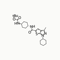 Cc1nn(C2CCCCC2)c2sc(C(=O)N[C@H]3CC[C@H](NC(=O)OC(C)(C)C)CC3)cc12